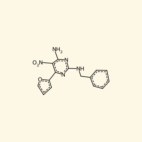 Nc1nc(NCc2ccccc2)nc(-c2ccco2)c1[N+](=O)[O-]